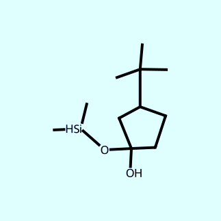 C[SiH](C)OC1(O)CCC(C(C)(C)C)C1